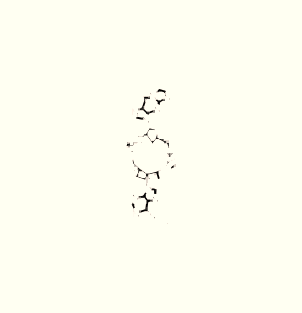 C=C1O[P@@](=O)(S)OC[C@@H]2C[C@@H](O[PH](=O)OC[C@H]3C[C@@H](n4cnc5c(N)ncnc54)[C@H]13)[C@H](n1cnc3c(=O)n4ccnc4[nH]c31)O2